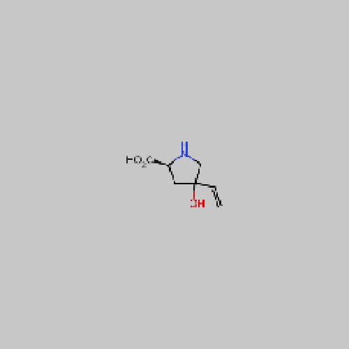 C=CC1(O)CN[C@H](C(=O)O)C1